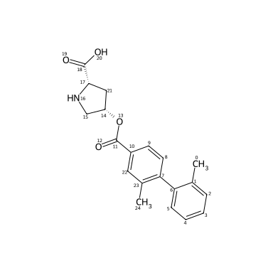 Cc1ccccc1-c1ccc(C(=O)O[C@@H]2CN[C@H](C(=O)O)C2)cc1C